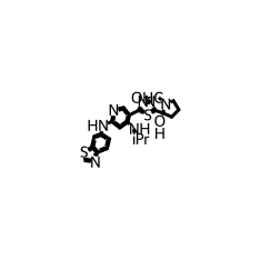 CC(C)Nc1cc(Nc2ccc3ncsc3c2)ncc1-c1nnc(C2(O)CCCN2C=O)s1